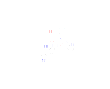 NC(CCC1CC1)(c1ccncc1)c1ccc(F)c(NC(=O)[C@H]2C[C@](CO)(C(F)(F)F)CN2C(=O)Nc2ccc(Cl)cn2)c1